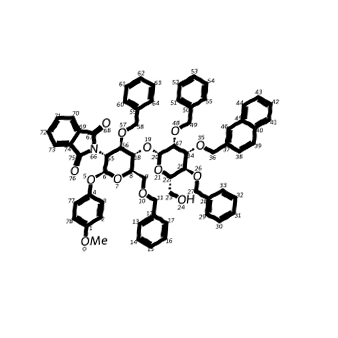 COc1ccc(O[C@@H]2O[C@H](COCc3ccccc3)[C@@H](O[C@H]3O[C@@H](CO)[C@H](OCc4ccccc4)[C@@H](OCc4ccc5ccccc5c4)[C@H]3OCc3ccccc3)[C@H](OCc3ccccc3)[C@H]2N2C(=O)c3ccccc3C2=O)cc1